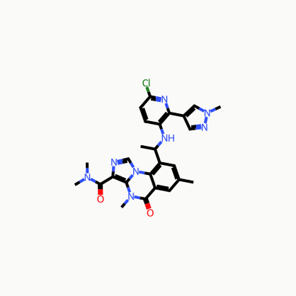 Cc1cc(C(C)Nc2ccc(Cl)nc2-c2cnn(C)c2)c2c(c1)c(=O)n(C)c1c(C(=O)N(C)C)ncn21